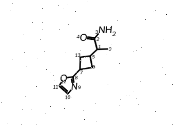 CC(C(N)=O)C1CC(c2ncco2)C1